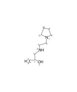 CC(O)CNCCN1CCCC1